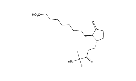 CCCCC(F)(F)C(=O)CC[C@H]1CCC(=O)[C@@H]1CCCCCCCCC(=O)O